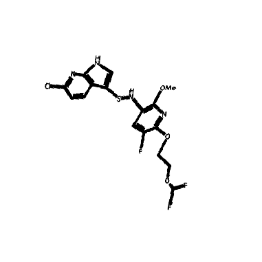 COc1nc(OCCOC(F)F)c(F)cc1NSc1c[nH]c2nc(Cl)ccc12